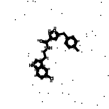 Cc1ccc(Cc2cc(C(=O)NCCc3c[nH]c4ccc(Cl)cc34)no2)cc1